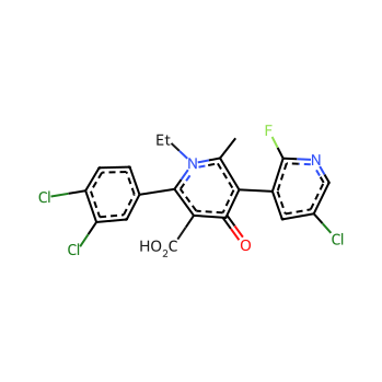 CCn1c(C)c(-c2cc(Cl)cnc2F)c(=O)c(C(=O)O)c1-c1ccc(Cl)c(Cl)c1